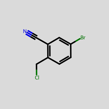 N#Cc1cc(Br)ccc1CCl